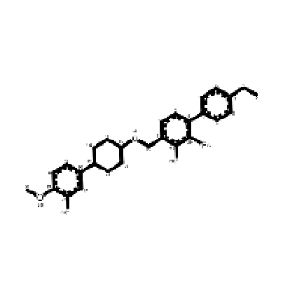 CCc1ccc(-c2ccc(COC3CCC(c4ccc(OC)c(F)c4)CC3)c(F)c2F)cc1